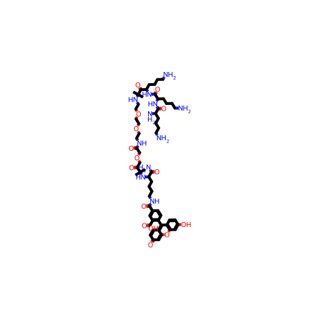 CC(C)(NC(CCCCNC(=O)c1ccc(-c2c3ccc(=O)cc-3oc3cc(O)ccc23)c(C(=O)O)c1)C(N)=O)C(=O)COCC(=O)NCCOCCOCCNC(C)(C)C(=O)C(CCCCN)NC(=O)C(CCCCN)NC(=O)C(N)CCCCN